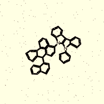 c1ccc(-c2ccccc2C(c2ccc(-n3c4ccccc4c4c5ccccc5n(-c5ccccc5)c43)cc2)c2cccc3ccccc23)cc1